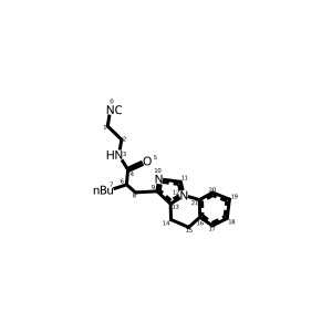 [C-]#[N+]CCNC(=O)C(CCCC)Cc1ncn2c1CCc1ccccc1-2